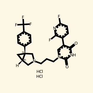 Cl.Cl.O=c1[nH]c(=O)n(CCCN2C[C@@H]3C[C@]3(c3ccc(C(F)(F)F)cc3)C2)cc1-c1ccc(F)nc1F